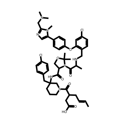 CC=CCC(CC(=O)O)C(=O)N1CCCC(Cc2ccc(Cl)cc2)(NC(=O)C2COC(C)(C)N2C(=O)C(C)NCc2ccc(Cl)cc2Oc2ccc(-c3cnc(CN(C)C)n3C)cc2)C1